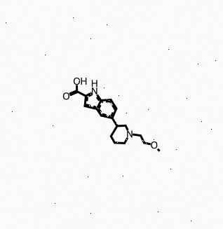 COCCN1CCCC(c2ccc3[nH]c(C(=O)O)cc3c2)C1